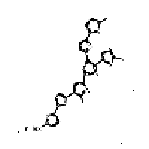 CCCCCCc1ccc(C2=CC=C(c3cc(-c4cc(-c5ccc(-c6ccc(C)s6)s5)c(-c5ccc(C)s5)s4)sc3C)C2)s1